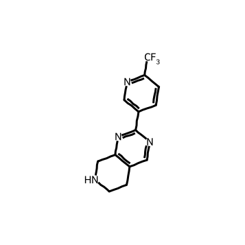 FC(F)(F)c1ccc(-c2ncc3c(n2)CNCC3)cn1